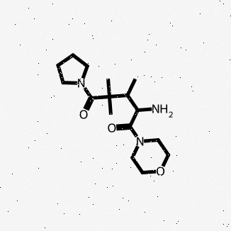 CC(C(N)C(=O)N1CCOCC1)C(C)(C)C(=O)N1CCCC1